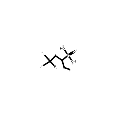 CCC(CC(F)(F)F)P(=O)(O)O